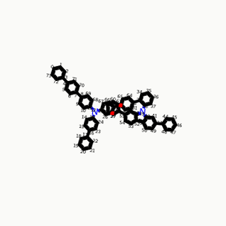 c1ccc(-c2ccc(-c3ccc(N(c4ccc(-c5ccccc5)cc4)c4ccc(-c5ccc(-c6ccccc6-n6c7cc(-c8ccccc8)ccc7c7ccc(-c8ccccc8)cc76)cc5)cc4)cc3)cc2)cc1